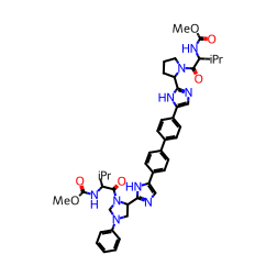 COC(=O)NC(C(=O)N1CCCC1c1ncc(-c2ccc(-c3ccc(-c4cnc(C5CN(c6ccccc6)CN5C(=O)C(NC(=O)OC)C(C)C)[nH]4)cc3)cc2)[nH]1)C(C)C